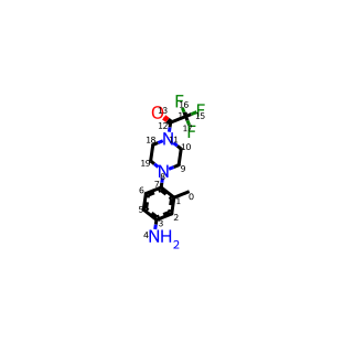 Cc1cc(N)ccc1N1CCN(C(=O)C(F)(F)F)CC1